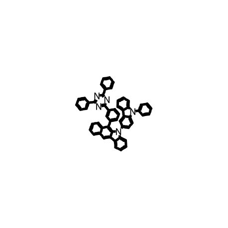 c1ccc(-c2nc(-c3ccccc3)nc(-c3cccc(-c4c5ccccc5cc5c6ccccc6n(-c6ccc7c(c6)c6ccccc6n7-c6ccccc6)c45)c3)n2)cc1